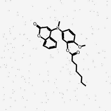 CCCCCCC(=O)Oc1cc(N(C)c2cc(=O)oc3ccccc23)ccc1OC